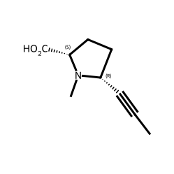 CC#C[C@H]1CC[C@@H](C(=O)O)N1C